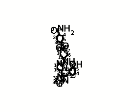 NC(=O)c1ccc(S(=O)(=O)N2CCC(Nc3nccc(-c4c(-c5cccc(O)c5)nc5occn45)n3)CC2)cc1